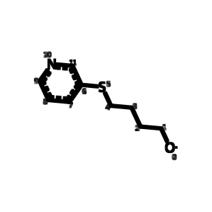 [O]CCCCSc1cccnc1